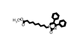 COC(=O)CCCCCCCCn1cc(-c2ccccc2)c(-c2ccccc2)nc1=O